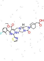 CCOC(=O)C1=C(CN2CCN3C(=O)N(C45CCC(CC(=O)O)(CC4)C5)C[C@@H]3C2)NC(c2nccs2)=N[C@H]1c1cccc(F)c1C